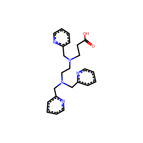 O=C(O)CCN(CCN(Cc1ccccn1)Cc1ccccn1)Cc1ccccn1